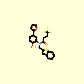 O=C(CCC(F)(F)F)N(Cc1cc2ccccc2s1)c1cc(-c2ccco2)ccc1O